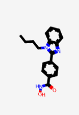 CCCCn1c(-c2ccc(C(=O)NO)cc2)nc2ccccc21